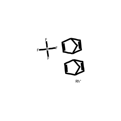 C1=CC2C=CC1C2.C1=CC2C=CC1C2.F[B-](F)(F)F.[Rh+]